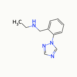 CCNCc1ccccc1-n1cncn1